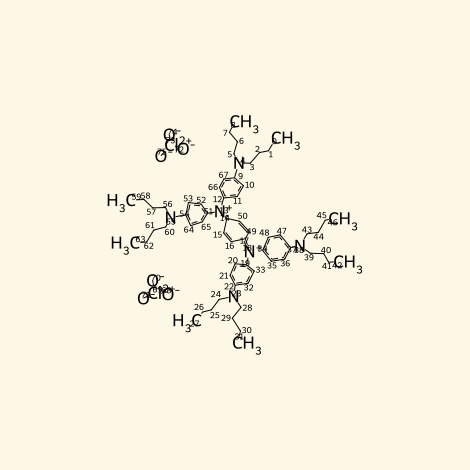 CCCCN(CCCC)c1ccc([N+](=C2C=CC(=[N+](c3ccc(N(CCCC)CCCC)cc3)c3ccc(N(CCCC)CCCC)cc3)C=C2)c2ccc(N(CCCC)CCCC)cc2)cc1.[O-][Cl+2]([O-])[O-].[O-][Cl+2]([O-])[O-]